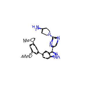 COc1cc(OC)cc(-c2ccc3[nH]nc(-c4cncc(N5CCC(N)CC5)n4)c3c2)c1